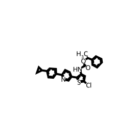 C[C@@H](OC(=O)Nc1cc(Cl)sc1-c1ccc(-c2ccc(C3CC3)cc2)nc1)c1ccccc1